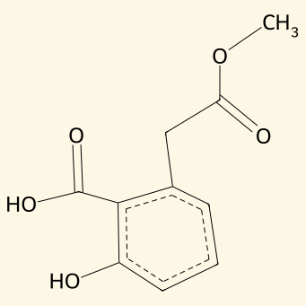 COC(=O)Cc1cccc(O)c1C(=O)O